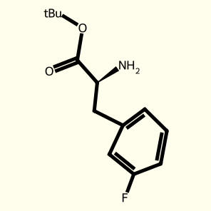 CC(C)(C)OC(=O)[C@@H](N)Cc1cccc(F)c1